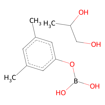 CC(O)CO.Cc1cc(C)cc(OB(O)O)c1